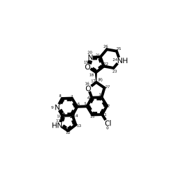 Clc1cc2c(c(-c3ccnc4[nH]ccc34)c1)O[C@@H](c1onc3c1CNCC3)C2